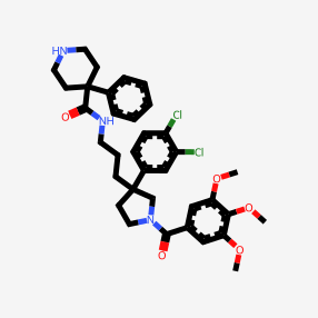 COc1cc(C(=O)N2CCC(CCCNC(=O)C3(c4ccccc4)CCNCC3)(c3ccc(Cl)c(Cl)c3)C2)cc(OC)c1OC